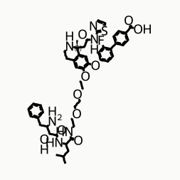 CC(C)CC(NC(=O)C(O)C(N)Cc1ccccc1)C(=O)NCCOCCOCCOc1cc2c(cc1Oc1ccc(-c3ccc(C(=O)O)cc3)c(F)c1)[C@@](C)(CC(=O)Nc1nccs1)NCC2